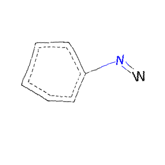 [W]=[N]c1ccccc1